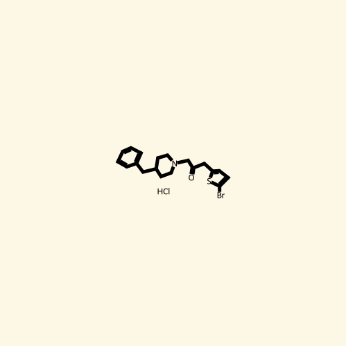 Cl.O=C(Cc1ccc(Br)s1)CN1CCC(Cc2ccccc2)CC1